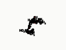 C#CCOC(=O)N(C)Cc1cc(NC(=O)C(CCCNC(N)=O)NC(=O)CN)ccc1COC(=O)N(C)CC#Cc1ccc(OCCCc2sc(N3CCCC(/C(C)=C(\N)Nc4nc5ccccc5s4)=C3N)nc2C(=O)O)c(F)c1